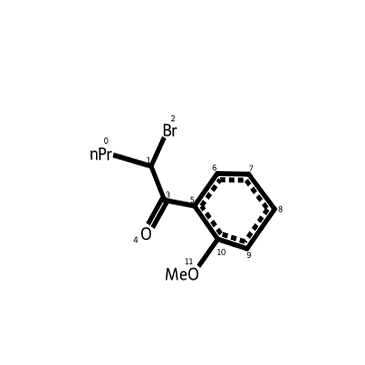 CCCC(Br)C(=O)c1ccccc1OC